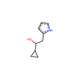 OC(Cc1ccc[nH]1)C1CC1